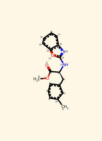 COC(=O)[C@H](Cc1cccc(C)c1)Nc1nc2ccccc2o1